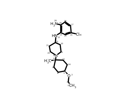 CCO[C@H]1CC[C@](C)(N2CCC(Nc3cc(Cl)ccc3N)CC2)CC1